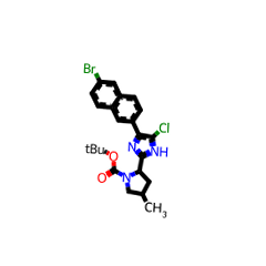 CC1CC(c2nc(-c3ccc4cc(Br)ccc4c3)c(Cl)[nH]2)N(C(=O)OC(C)(C)C)C1